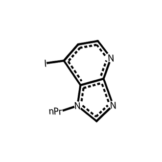 CCCn1cnc2nccc(I)c21